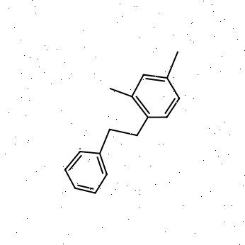 Cc1ccc(CCc2[c]cccc2)c(C)c1